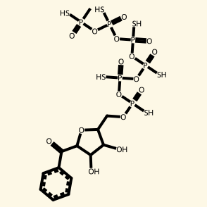 CP(=O)(S)OP(=O)(S)OP(=O)(S)OP(=O)(S)OP(=O)(S)OP(=O)(S)OCC1OC(C(=O)c2ccccc2)C(O)C1O